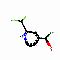 O=C(Cl)c1ccnc(C(F)F)c1